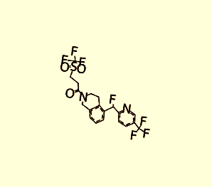 O=C(CCS(=O)(=O)C(F)(F)F)N1CCc2c(cccc2C(F)c2ccc(C(F)(F)F)cn2)C1